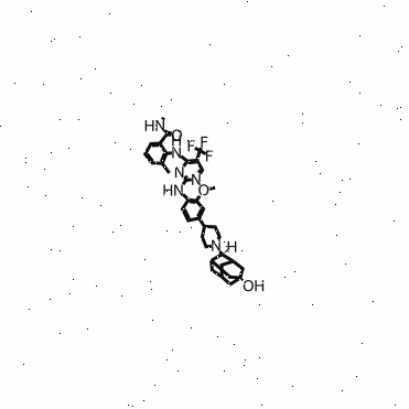 CNC(=O)c1cccc(C)c1Nc1nc(Nc2ccc(C3CCN([C@H]4C5CC6CC4C[C@@](O)(C6)C5)CC3)cc2OC)ncc1C(F)(F)F